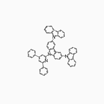 c1ccc(-c2cc(-c3ccccc3)nc(-n3c4ccc(-n5c6ccccc6c6ccccc65)cc4c4cc(-n5c6ccccc6c6ccccc65)ccc43)c2)cc1